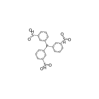 O=[SH](=O)c1cccc(P(c2cccc([SH](=O)=O)c2)c2cccc([SH](=O)=O)c2)c1